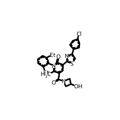 CCc1cccc(CC)c1-n1c(C)c(C(=O)N2CC(O)C2)cc(-c2nc(-c3ccc(Cl)cc3)cs2)c1=O